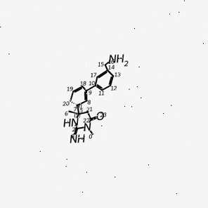 CN1C(=N)N[C@](C)([C@H]2C=C(c3cccc(CN)c3)C=CC2)CC1=O